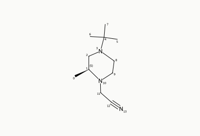 C[C@H]1CN(C(C)(C)C)CCN1CC#N